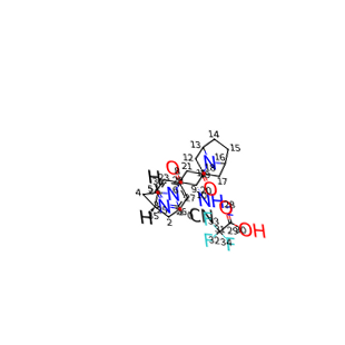 N#C[C@@H]1C[C@@H]2C[C@@H]2N1C(=O)[C@@H](N)C1CC2CCC(C1)N2C(=O)Cc1ccncc1.O=C(O)C(F)(F)F